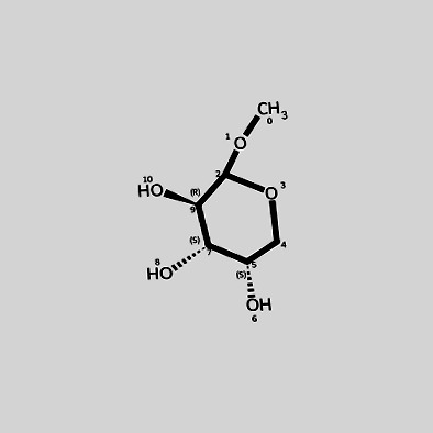 COC1OC[C@H](O)[C@H](O)[C@H]1O